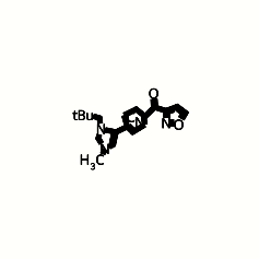 CN1C=C(C2=CC3CCC2CN3C(=O)c2ccon2)N(CC(C)(C)C)C1